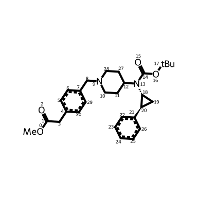 COC(=O)Cc1ccc(CN2CCC(N(C(=O)OC(C)(C)C)[C@@H]3C[C@H]3c3ccccc3)CC2)cc1